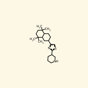 CC1(C)CCC(C)(C)C2CC(c3csc(C4CCCNC4)n3)CCC21